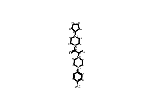 CC(=O)c1ccc(N2CCN(C(C)C(=O)N3CCN(C4CCCC4)CC3)CC2)cc1